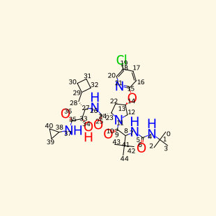 CC(C)(C)NC(=O)NC(C(=O)N1C[C@H](Oc2ccc(Cl)cn2)C[C@H]1C(=O)N[C@@H](CC1CCC1)C(O)C(=O)NC1CC1)C(C)(C)C